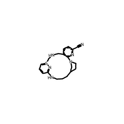 N#Cc1ccc2c(n1)N1CCC(CCCNC3=NS(=CC=C3)CNC2)C1